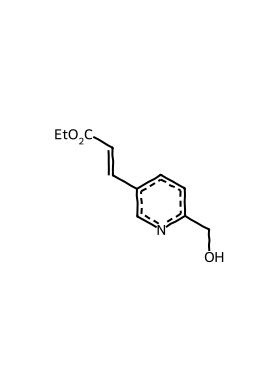 CCOC(=O)C=Cc1ccc(CO)nc1